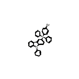 Brc1ccc([Si](c2ccccc2)(c2ccccc2)c2ccc3c(c2)c2ccccc2n3-c2ccccc2)cc1